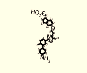 Cc1ccc(-c2nc(CCOc3ccc4c(c3)CC[C@H]4CC(=O)O)c(C)o2)cc1-c1ccc(N)cc1